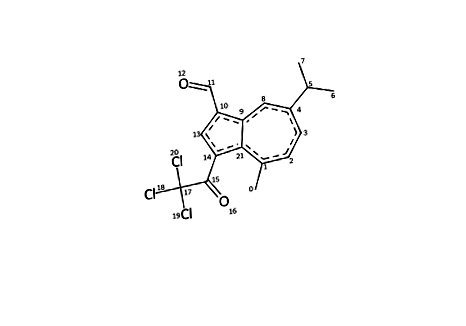 Cc1ccc(C(C)C)cc2c(C=O)cc(C(=O)C(Cl)(Cl)Cl)c1-2